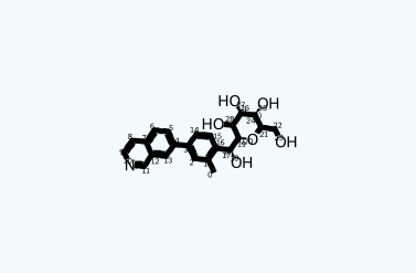 Cc1cc(-c2ccc3ccncc3c2)ccc1[C@@H](O)[C@H]1OC(CO)[C@@H](O)[C@H](O)C1O